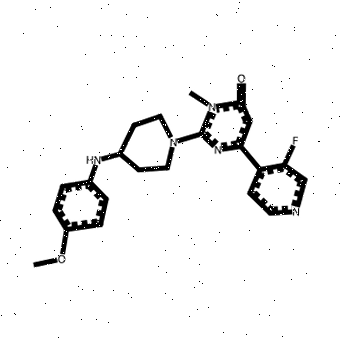 COc1ccc(NC2CCN(c3nc(-c4ccncc4F)cc(=O)n3C)CC2)cc1